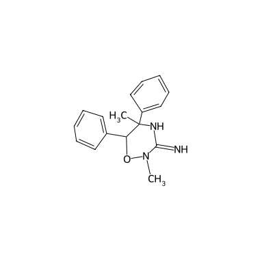 CN1OC(c2ccccc2)C(C)(c2ccccc2)NC1=N